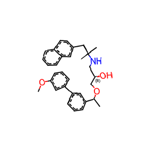 COc1cccc(-c2cccc(C(C)OC[C@H](O)CNC(C)(C)Cc3ccc4ccccc4c3)c2)c1